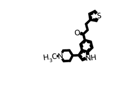 CN1CCC(c2c[nH]c3ccc(C(=O)CCc4ccsc4)cc23)CC1